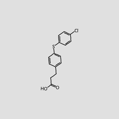 O=C(O)CCc1ccc(Sc2ccc(Cl)cc2)cc1